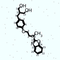 CN(CCOc1ccc(CC(CO)CO)cc1)c1nc2ccccc2o1